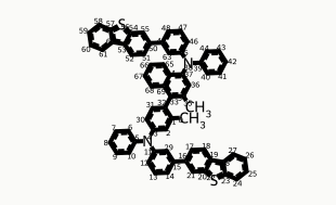 Cc1cc(N(c2ccccc2)c2cccc(-c3ccc4c(c3)sc3ccccc34)c2)ccc1-c1c(C)cc(N(c2ccccc2)c2cccc(-c3ccc4c(c3)sc3ccccc34)c2)c2ccccc12